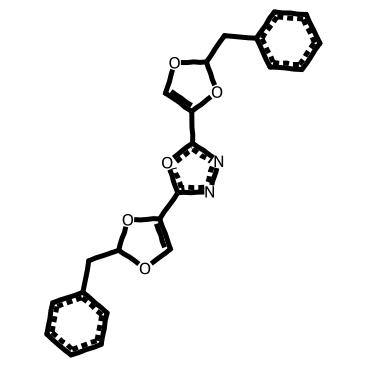 C1=C(c2nnc(C3=COC(Cc4ccccc4)O3)o2)OC(Cc2ccccc2)O1